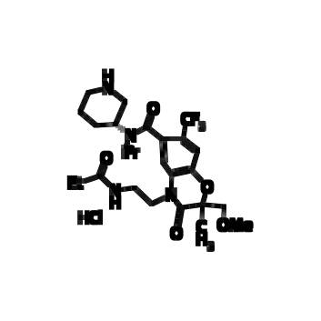 CCC(=O)NCCN1C(=O)C(C)(COC)Oc2cc(C(F)(F)F)c(C(=O)N(C(C)C)[C@@H]3CCCNC3)cc21.Cl